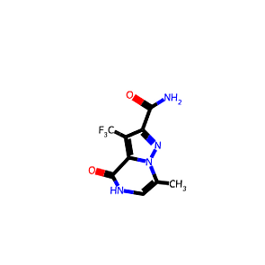 Cc1c[nH]c(=O)c2c(C(F)(F)F)c(C(N)=O)nn12